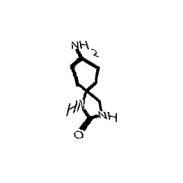 NC1CCC2(CC1)CNC(=O)N2